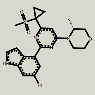 C[C@@H]1COCCN1c1cc(C2(S(C)(=O)=O)CC2)nc(-c2cc(Cl)cc3[nH]ccc23)n1